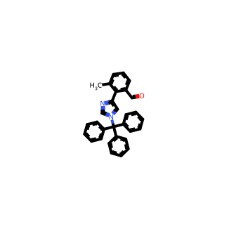 Cc1cccc(C=O)c1-c1cn(C(c2ccccc2)(c2ccccc2)c2ccccc2)cn1